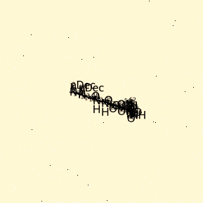 CCCCCCCCCCCCN(C)CCCN(CCCCCCCCCCCC)CCCCCC(=O)NCCCNC(=O)CCC(=O)OCC(O)C(O)C(O)Cn1c2nc(=O)[nH]c(=O)c-2nc2cc(C)c(C)cc21